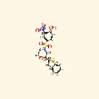 COc1ccc(S(=O)(=O)N2CCOC(c3cc4ccccc4s3)C2)cc1[N+](=O)[O-]